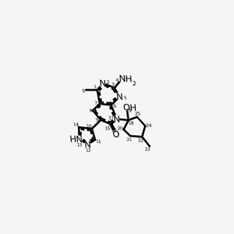 Cc1nc(N)nc2c1cc(-c1cn[nH]c1)c(=O)n2C1(O)CCC(C)CC1